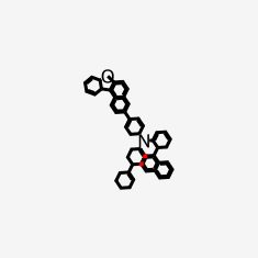 C1=CCC(c2cccc3ccccc23)C(N(C2=CCC(C3=CCCCC3)CC2)C2C=CC(c3ccc4c5c(ccc4c3)OC3C=CC=CC53)=CC2)=C1